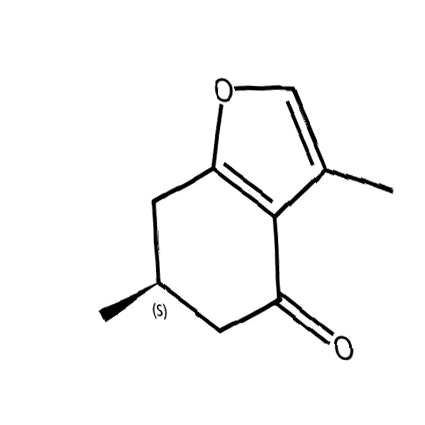 Cc1coc2c1C(=O)C[C@@H](C)C2